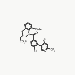 COc1cccc(CCCC(=O)O)c1N(C)C(=O)c1ccc(Cl)c(-c2cnc(C(F)(F)F)cc2C#N)c1